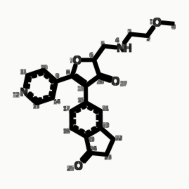 COCCNCC1OC(c2ccncc2)=C(c2ccc3c(c2)CCC3=O)C1=O